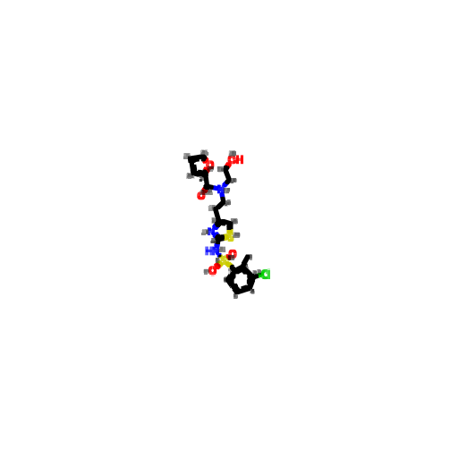 Cc1c(Cl)cccc1S(=O)(=O)Nc1nc(CCN(CCO)C(=O)c2ccco2)cs1